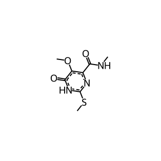 CNC(=O)c1nc(SC)[nH]c(=O)c1OC